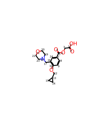 O=C(O)COC(=O)c1ccc(OCC2CC2)c(CN2CCOCC2)c1